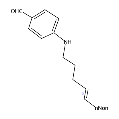 CCCCCCCCC/C=C/CCCNc1ccc(C=O)cc1